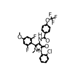 COc1cc(F)c(-c2c(NC(=O)c3ccc(OC(F)(F)F)cc3)c(=O)n(-c3ccccc3Cl)n2C)c(F)c1